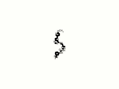 COc1ccc(-c2cc3ncnc(NCCc4cnc(NC(=O)Nc5cccc(C(F)(F)F)c5)s4)c3s2)cn1